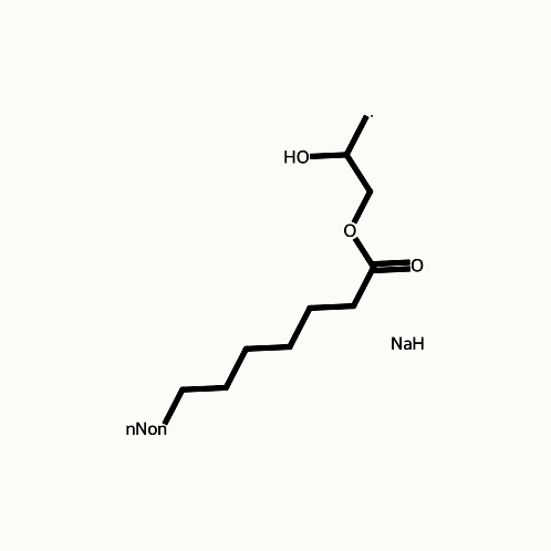 [CH2]C(O)COC(=O)CCCCCCCCCCCCCCC.[NaH]